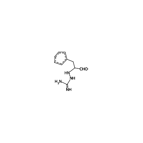 N=C(N)NNC([C]=O)Cc1ccccc1